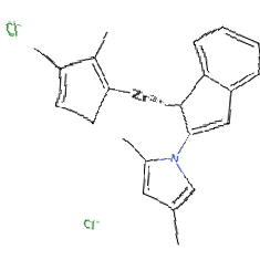 CC1=CC[C]([Zr+2][CH]2C(n3cc(C)cc3C)=Cc3ccccc32)=C1C.[Cl-].[Cl-]